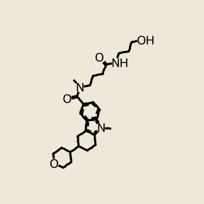 CN(CCCC(=O)NCCCO)C(=O)c1ccc2c(c1)c1c(n2C)CCC(C2CCOCC2)C1